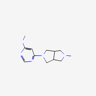 CCNc1cc(N2CC3CN(C)CC3C2)ncn1